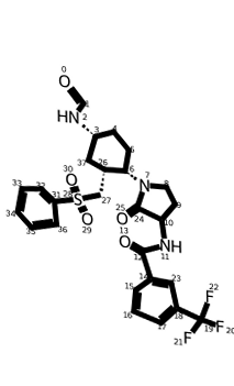 O=CN[C@@H]1CC[C@H](N2CCC(NC(=O)c3cccc(C(F)(F)F)c3)C2=O)[C@H](CS(=O)(=O)c2ccccc2)C1